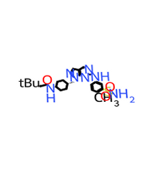 Cc1ccc(Nc2ncc3cnn(C[C@H]4CC[C@@H](NC(=O)CC(C)(C)C)CC4)c3n2)cc1S(N)(=O)=O